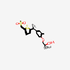 CCC(c1ccc(OCC(O)C(C)(C)C)c(C)c1)c1ccc(CS(C)(=O)=O)s1